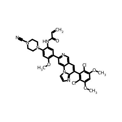 C=CC(=O)Nc1cc(-c2cc3c(cn2)cc(-c2c(Cl)c(OC)cc(OC)c2Cl)c2nccn23)c(OC)cc1N1CCN(C#N)CC1